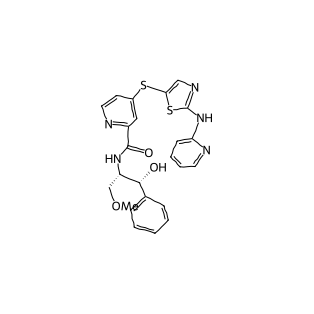 COC[C@H](NC(=O)c1cc(Sc2cnc(Nc3ccccn3)s2)ccn1)[C@H](O)c1ccccc1